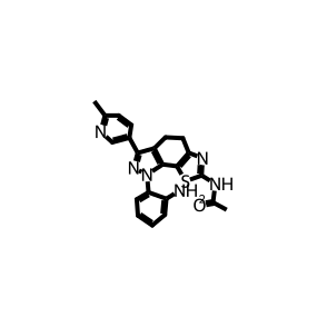 CC(=O)Nc1nc2c(s1)-c1c(c(-c3ccc(C)nc3)nn1-c1ccccc1N)CC2